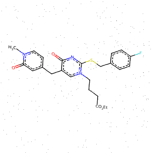 CCOC(=O)CCCn1cc(Cc2ccn(C)c(=O)c2)c(=O)nc1SCc1ccc(F)cc1